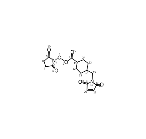 O=C(OON1C(=O)CCC1=O)C1CCC(CN2C(=O)C=CC2=O)CC1